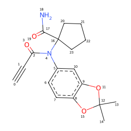 C#CC(=O)N(c1ccc2c(c1)OC(C)(C)O2)C1(C(N)=O)CCCC1